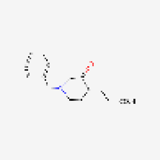 O=C(O)CCC1CCN(Cc2ccccc2)CC1=O